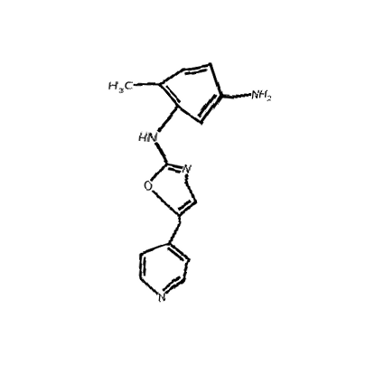 Cc1ccc(N)cc1Nc1ncc(-c2ccncc2)o1